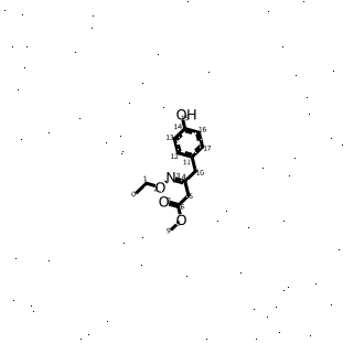 CCON=C(CC(=O)OC)Cc1ccc(O)cc1